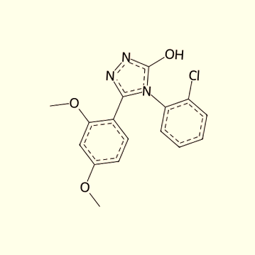 COc1ccc(-c2nnc(O)n2-c2ccccc2Cl)c(OC)c1